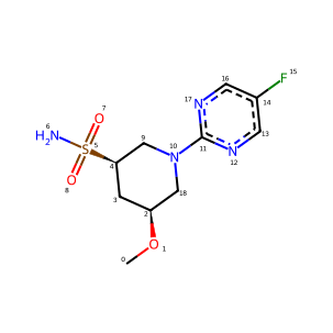 CO[C@H]1C[C@@H](S(N)(=O)=O)CN(c2ncc(F)cn2)C1